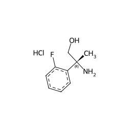 C[C@](N)(CO)c1ccccc1F.Cl